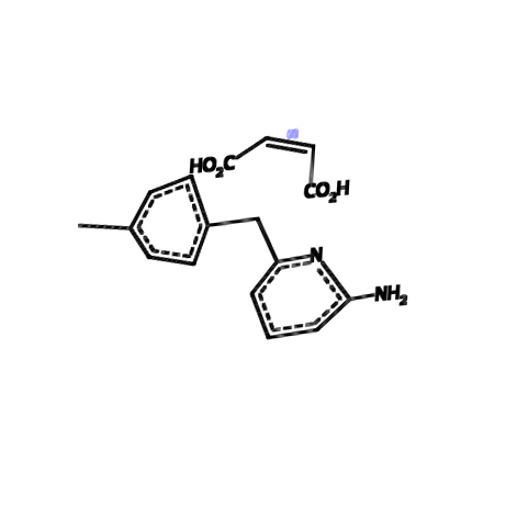 Cc1ccc(Cc2cccc(N)n2)cc1.O=C(O)/C=C\C(=O)O